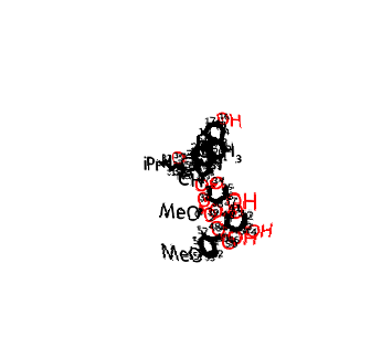 COC(=O)OC1C(O[C@H]2C[C@H]3[C@@H]4CC=C5C[C@@H](O)CC[C@]5(C)[C@H]4CC[C@]3(C)[C@H]2[C@H](C)C(=O)CCC(C)C)OCC(O)C1OC1OCC(O)C(O)C1OC(=O)c1ccc(OC)cc1